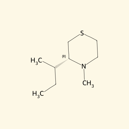 CCC(C)[C@@H]1CSCCN1C